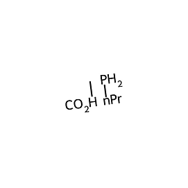 CC(=O)O.CCCP